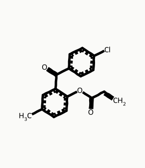 C=CC(=O)Oc1ccc(C)cc1C(=O)c1ccc(Cl)cc1